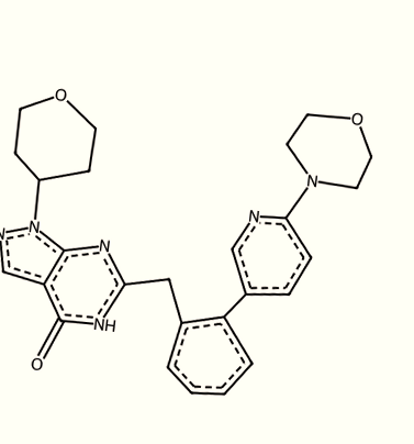 O=c1[nH]c(Cc2ccccc2-c2ccc(N3CCOCC3)nc2)nc2c1cnn2C1CCOCC1